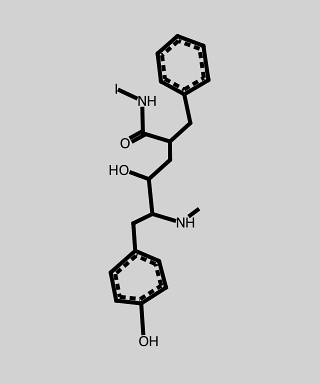 CNC(Cc1ccc(O)cc1)C(O)CC(Cc1ccccc1)C(=O)NI